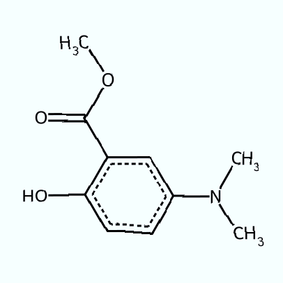 COC(=O)c1cc(N(C)C)ccc1O